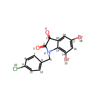 O=C1C(=O)N(Cc2ccc(Cl)cc2)c2c(Br)cc(Br)cc21